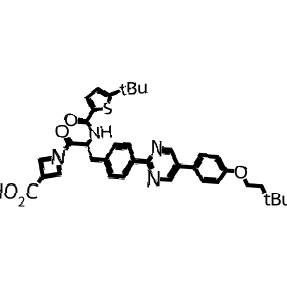 CC(C)(C)CCOc1ccc(-c2cnc(-c3ccc(C[C@H](NC(=O)c4ccc(C(C)(C)C)s4)C(=O)N4CC(C(=O)O)C4)cc3)nc2)cc1